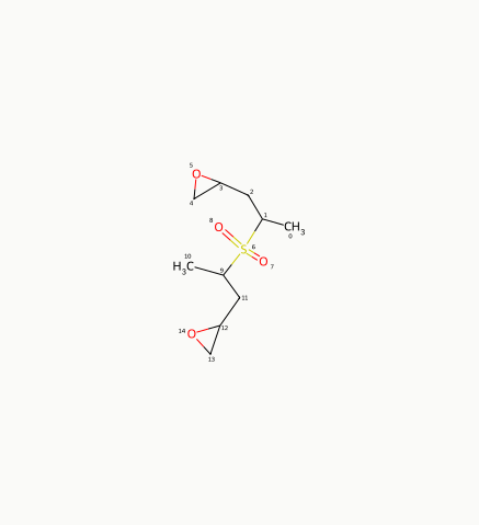 CC(CC1CO1)S(=O)(=O)C(C)CC1CO1